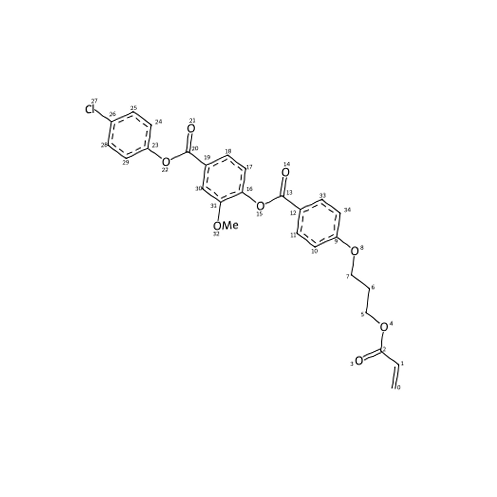 C=CC(=O)OCCCOc1ccc(C(=O)Oc2ccc(C(=O)Oc3ccc(Cl)cc3)cc2OC)cc1